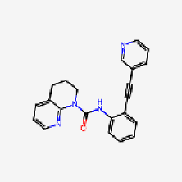 O=C(Nc1ccccc1C#Cc1cccnc1)N1CCCc2cccnc21